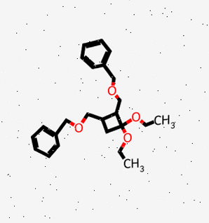 CCOC1(OCC)CC(COCc2ccccc2)C1COCc1ccccc1